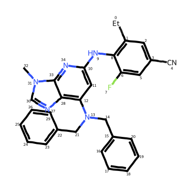 CCc1cc(C#N)cc(F)c1Nc1cc(N(Cc2ccccc2)Cc2ccccc2)c2ncn(C)c2n1